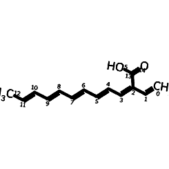 C=CC(=CC=CC=CC=CC=CC)C(=O)O